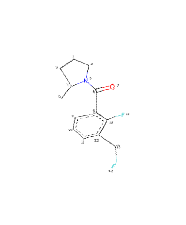 CC1CCCN1C(=O)c1cccc(CF)c1F